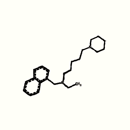 CCN(CCCCCN1CC[CH]CC1)Cc1cccc2ccccc12